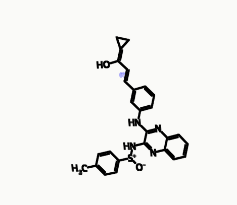 Cc1ccc([S+]([O-])Nc2nc3ccccc3nc2Nc2cccc(/C=C/C(O)=C3CC3)c2)cc1